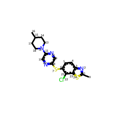 Cc1nc2ccc(Sc3cnc(N4CCC(C)CC4)cn3)c(Cl)c2s1